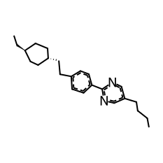 CCCCc1cnc(-c2ccc(CC[C@H]3CC[C@H](CC)CC3)cc2)nc1